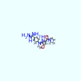 NNC(N)c1ccc(N2CCOc3cc(C(=O)N4CCCC4)[nH]c32)cc1